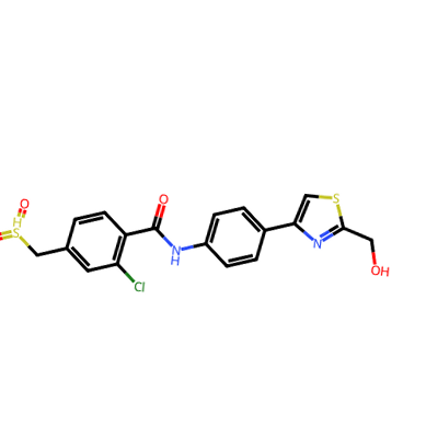 O=C(Nc1ccc(-c2csc(CO)n2)cc1)c1ccc(C[SH](=O)=O)cc1Cl